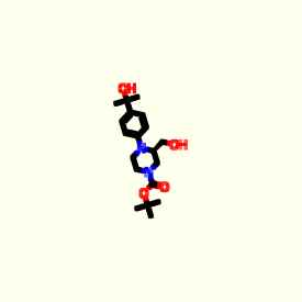 CC(C)(C)OC(=O)N1CCN(c2ccc(C(C)(C)O)cc2)[C@@H](CO)C1